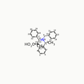 CC(c1ccccc1)N(Cc1ccccc1)[C@H](c1ccccc1)[C@@H](C)C(=O)O